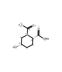 COC(=O)[C@@H]1CC[C@H](O)CN1C(=O)C(F)(F)F